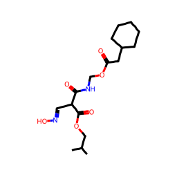 CC(C)COC(=O)C(C=NO)C(=O)NCOC(=O)CC1CCCCC1